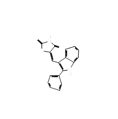 O=C1NC(=O)C(=Cc2c(-c3ccccc3)[nH]c3ccccc23)S1